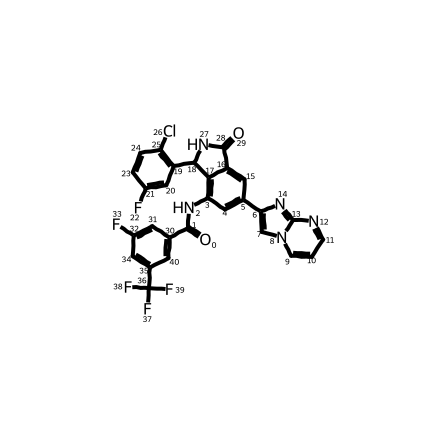 O=C(Nc1cc(-c2cn3cccnc3n2)cc2c1C(c1cc(F)ccc1Cl)NC2=O)c1cc(F)cc(C(F)(F)F)c1